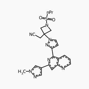 CCCS(=O)(=O)N1CC(CC#N)(n2ccc(-c3nc(-c4cnn(C)c4)cc4ncccc34)n2)C1